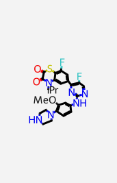 COc1cc(Nc2ncc(F)c(-c3cc(F)c4sc(=O)c(=O)n(C(C)C)c4c3)n2)ccc1N1CCNCC1